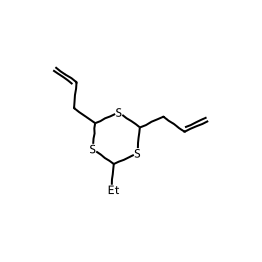 C=CCC1SC(CC)SC(CC=C)S1